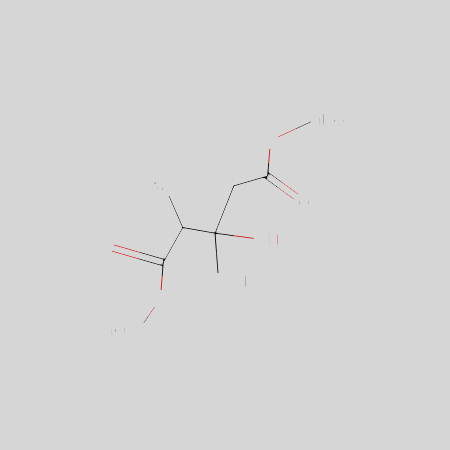 CCCCCCCCCCOC(=O)CC(O)(C(=O)O)C(C(C)=O)C(=O)OCCCCCCCC